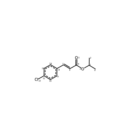 CC(C)OC(=O)C=Cc1ccc(Cl)cc1